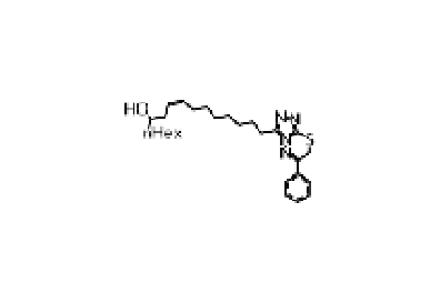 CCCCCCC(O)C/C=C\CCCCCCCc1nnc2n1N=C(c1ccccc1)CS2